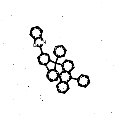 c1ccc(-c2c3ccccc3cc3c(C4(c5ccccc5)c5ccccc5-c5ccc(-c6nc7ccccc7o6)cc54)cccc23)cc1